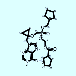 Nc1ncnc2c1ncn2CC1(OCP(=O)(OCOC(=O)C2CCCC2)OCC2CCCC2)CC1